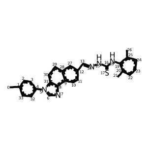 Cc1ccc(-n2cnc3c4ccc(C=NNC(=S)Nc5c(C)cccc5C)cc4ccc32)cc1